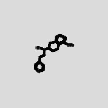 CCCN(CCc1ccncc1)C1CCc2c(cccc2OC)C1